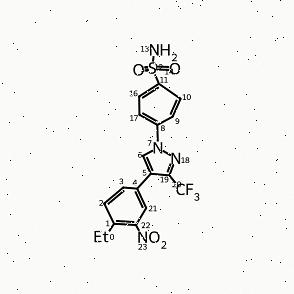 CCc1ccc(-c2cn(-c3ccc(S(N)(=O)=O)cc3)nc2C(F)(F)F)cc1[N+](=O)[O-]